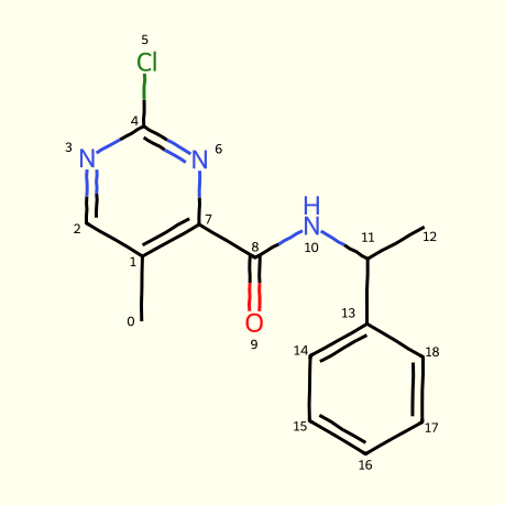 Cc1cnc(Cl)nc1C(=O)NC(C)c1ccccc1